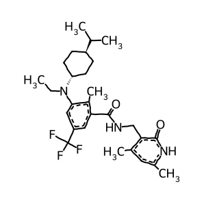 CCN(c1cc(C(F)(F)F)cc(C(=O)NCc2c(C)cc(C)[nH]c2=O)c1C)[C@H]1CC[C@H](C(C)C)CC1